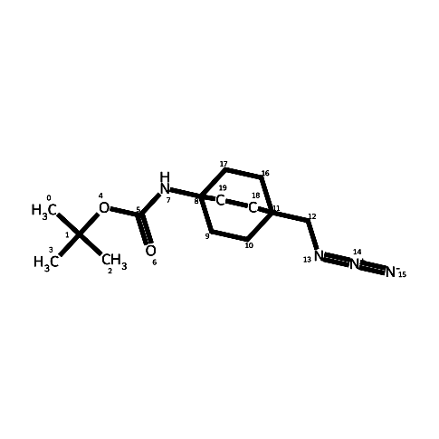 CC(C)(C)OC(=O)NC12CCC(CN=[N+]=[N-])(CC1)CC2